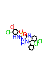 COc1cc(OC)c(NC(=S)NC2N=C(c3ccccc3Cl)c3cc(Cl)ccc3N(C)C2=O)cc1Cl